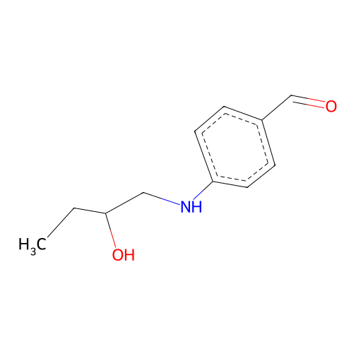 CCC(O)CNc1ccc(C=O)cc1